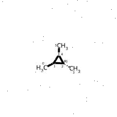 CC1[C@@H](C)I1C